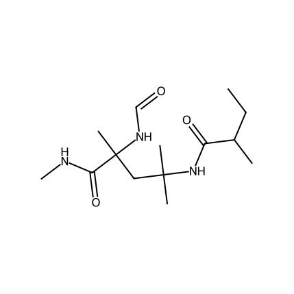 CCC(C)C(=O)NC(C)(C)CC(C)(NC=O)C(=O)NC